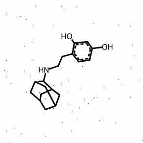 Oc1ccc(CCNC2C3CC4CC(C3)CC2C4)c(O)c1